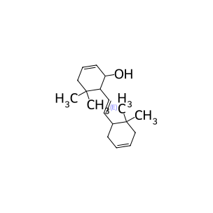 CC1(C)CC=CCC1/C=C/C1C(O)C=CCC1(C)C